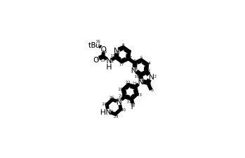 Cc1nc2ccc(-c3ccnc(NC(=O)OC(C)(C)C)c3)nc2n1-c1ccc(N2CCNCC2)c(F)c1